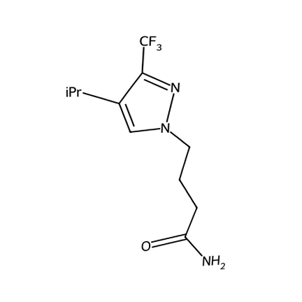 CC(C)c1cn(CCCC(N)=O)nc1C(F)(F)F